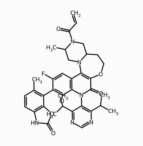 C=CC(=O)N1CC2CCOc3c(c4cc(F)c(-c5c(C)ccc6[nH]c(=O)oc56)c(Cl)c4n(-c4c(C(C)C)ncnc4C(C)C)c3=O)N2CC1C